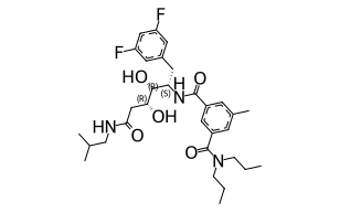 CCCN(CCC)C(=O)c1cc(C)cc(C(=O)N[C@@H](Cc2cc(F)cc(F)c2)[C@@H](O)[C@H](O)CC(=O)NCC(C)C)c1